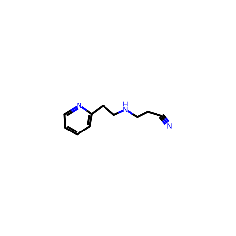 N#CCCNCCc1ccccn1